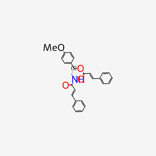 COc1ccc([C@@H](CNC(=O)C=Cc2ccccc2)OC(=O)C=Cc2ccccc2)cc1